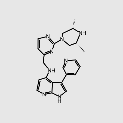 C[C@@H]1CN(c2nccc(CNc3ccnc4[nH]cc(-c5cccnc5)c34)n2)C[C@H](C)N1